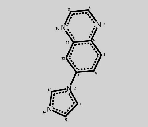 c1cn(-c2ccc3nccnc3c2)cn1